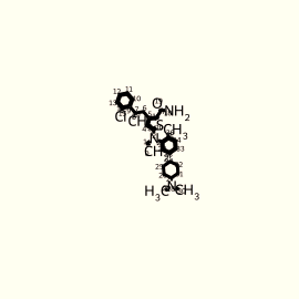 C=CN(c1cc(C[C@H](C)c2ccccc2Cl)c(C(N)=O)s1)c1cc([C@H]2CC[C@H](N(C)C)CC2)ccc1C